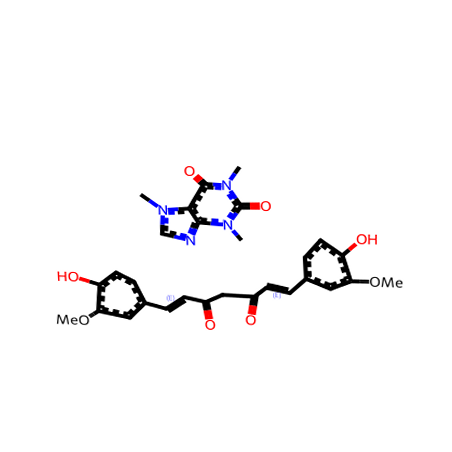 COc1cc(/C=C/C(=O)CC(=O)/C=C/c2ccc(O)c(OC)c2)ccc1O.Cn1c(=O)c2c(ncn2C)n(C)c1=O